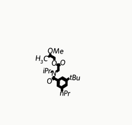 CCCc1cc(C(=O)N(CC(=O)OCC(C)OC)C(C)C)cc(C(C)(C)C)c1